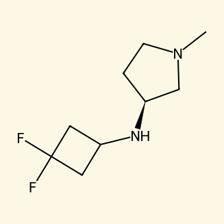 CN1CC[C@H](NC2CC(F)(F)C2)C1